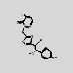 O=c1c(Cl)ccnn1Cc1nc([C@@H](F)[C@@H](O)c2ccc(Cl)cc2)no1